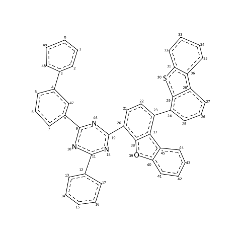 c1ccc(-c2cccc(-c3nc(-c4ccccc4)nc(-c4ccc(-c5cccc6c5sc5ccccc56)c5c4oc4ccccc45)n3)c2)cc1